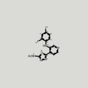 CC(=O)Nc1nnc(-c2ccncc2Nc2ccc(I)cc2F)o1